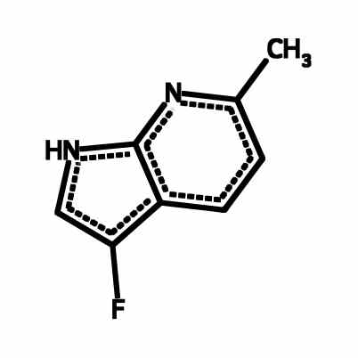 Cc1ccc2c(F)c[nH]c2n1